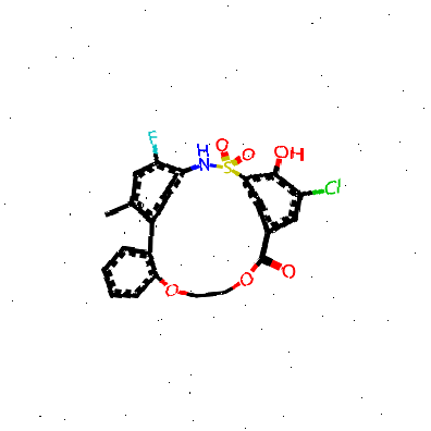 Cc1cc(F)c2cc1-c1ccccc1OCCOC(=O)c1cc(Cl)c(O)c(c1)S(=O)(=O)N2